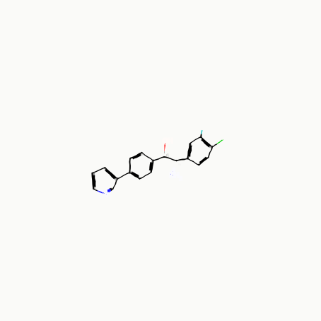 N[C@@H](c1ccc(Cl)c(F)c1)[C@H](O)c1ccc(-c2cccnc2)cc1